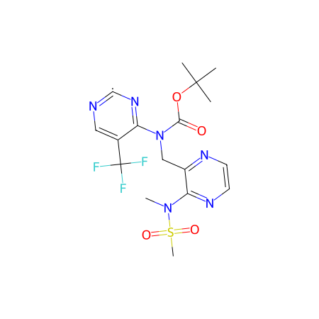 CN(c1nccnc1CN(C(=O)OC(C)(C)C)c1n[c]ncc1C(F)(F)F)S(C)(=O)=O